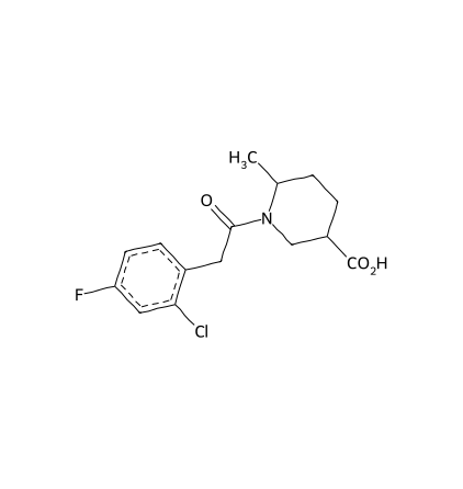 CC1CCC(C(=O)O)CN1C(=O)Cc1ccc(F)cc1Cl